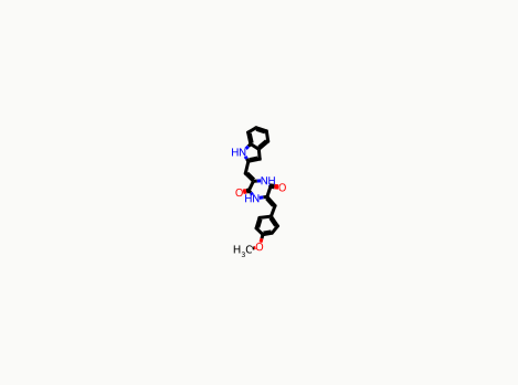 COc1ccc(/C=c2\[nH]c(=O)/c(=C/c3cc4ccccc4[nH]3)[nH]c2=O)cc1